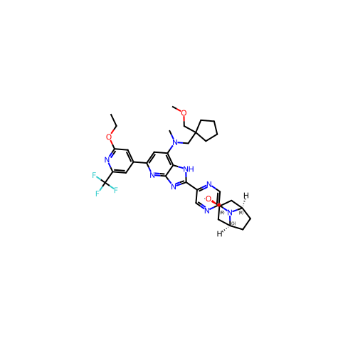 CCOc1cc(-c2cc(N(C)CC3(COC)CCCC3)c3[nH]c(-c4cnc(N5[C@@H]6CC[C@H]5C[C@@H]([O])C6)cn4)nc3n2)cc(C(F)(F)F)n1